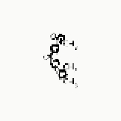 Cc1cnc(N2CCN(C(=O)c3ccc(N4C(=O)CCC4C)cc3)CC2)c(C)c1